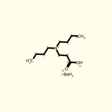 CCCCN(CCCC)CCC(=O)O.[BaH2]